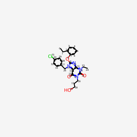 CCc1ccccc1Oc1nc2c(c(=O)n(CCCO)c(=O)n2CC)n1Cc1ccc(Cl)cc1